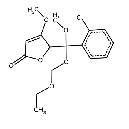 CCOCOC(OC)(c1ccccc1Cl)C1OC(=O)C=C1OC